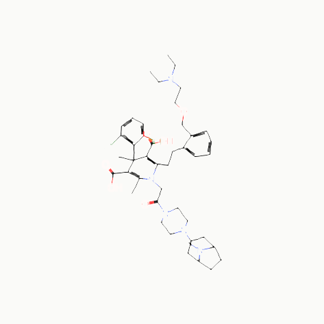 CCN(CC)CCOCc1ccccc1CCC1=C(C(=O)O)C(C)(c2c(Cl)cccc2Cl)C(C(=O)O)=C(C)N1CC(=O)N1CCN(C2CC3CCC(C2)N3C)CC1